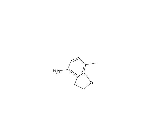 Cc1ccc(N)c2c1OCC2